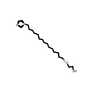 SCCOCCCCCCCCCCCCCCCCn1ccnc1